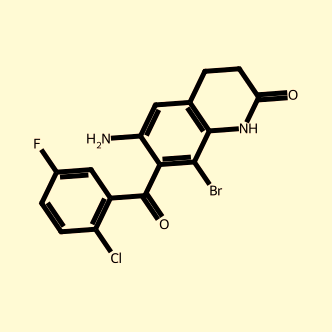 Nc1cc2c(c(Br)c1C(=O)c1cc(F)ccc1Cl)NC(=O)CC2